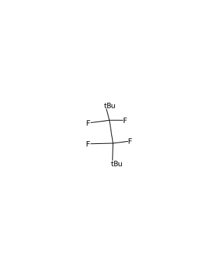 CC(C)(C)C(F)(F)C(F)(F)C(C)(C)C